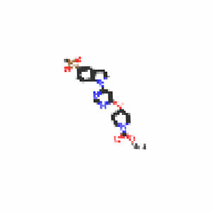 CCCCOC(=O)N1CCC(Oc2cc(N3CCc4cc(S(C)(=O)=O)ccc43)ncn2)CC1